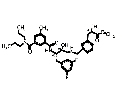 CCCN(CCC)C(=O)c1cc(C)cc(C(=O)N[C@@H](Cc2cc(F)cc(F)c2)[C@H](O)CNCc2cccc(C[C@@H](C)C(=O)OC)c2)c1